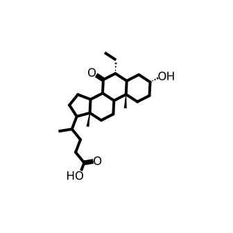 CC[C@H]1C(=O)C2C3CCC(C(C)CCC(=O)O)[C@@]3(C)CCC2[C@@]2(C)CC[C@@H](O)CC12